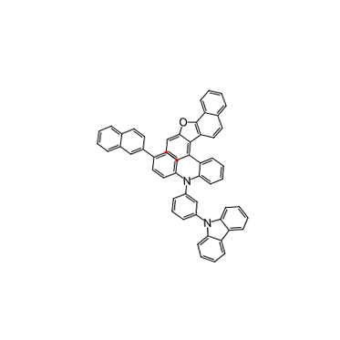 c1cc(N(c2ccc(-c3ccc4ccccc4c3)cc2)c2ccccc2-c2cccc3oc4c5ccccc5ccc4c23)cc(-n2c3ccccc3c3ccccc32)c1